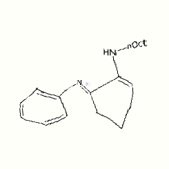 CCCCCCCCNC1=CCCC/C1=N\c1ccccc1